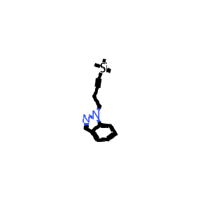 C[Si](C)(C)C#CCCn1ncc2ccccc21